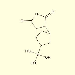 O=C1OC(=O)C2C3CC(CC3[Si](O)(O)O)C12